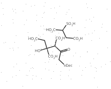 CCCCCCCCCCCC(=O)C(C(=O)O)C(O)(CC(=O)O)C(=O)O.O=C(O)CC(C(=O)O)S(=O)(=O)O